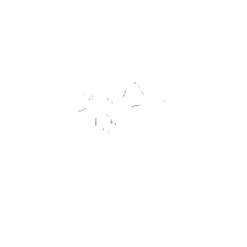 NC(=O)c1cn(C2CCCCC2)nc1Nc1ccc(CC(F)(F)F)nc1